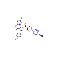 CC(Oc1ccc(F)cn1)[C@H]1CN(C(=O)C2CCN(c3ccc(C#N)nn3)CC2)C[C@@H]1c1ccc(Cl)cc1